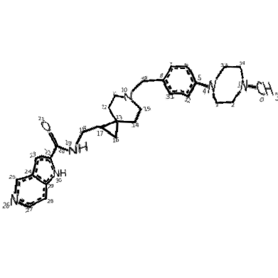 CN1CCN(c2ccc(CN3CCC4(CC3)CC4CNC(=O)c3cc4cnccc4[nH]3)cc2)CC1